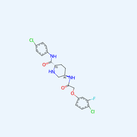 O=C(COc1ccc(Cl)c(F)c1)N[C@@H]1CC[C@@H](C(=O)Nc2ccc(Cl)cc2)NC1